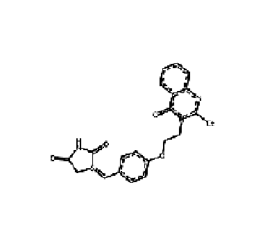 CCc1nc2ccccc2c(=O)n1CCOc1ccc(C=S2CC(=O)NC2=O)cc1